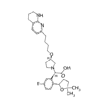 CC1(C)CCC(c2ccc(F)cc2[C@H](C(=O)O)N2CC[C@@H](OCCCCc3ccc4c(n3)NCCC4)C2)O1